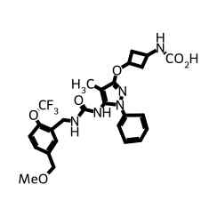 COCc1ccc(OC(F)(F)F)c(CNC(=O)Nc2c(C)c(OC3CC(NC(=O)O)C3)nn2-c2ccccc2)c1